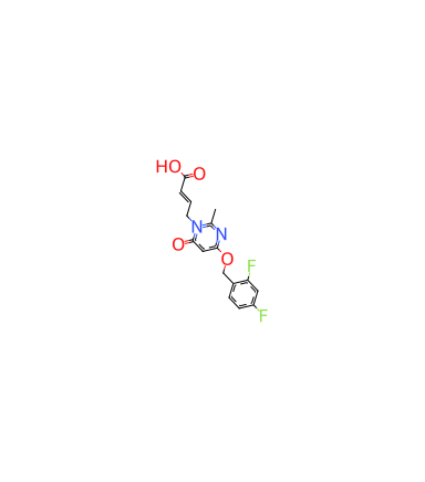 Cc1nc(OCc2ccc(F)cc2F)cc(=O)n1CC=CC(=O)O